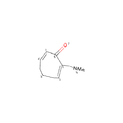 CNC1=CCC=CC1=O